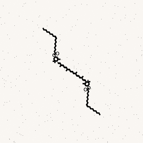 CCCCCCCC/C=C\CCCCCCCC(=O)O[C@@H]1CC(C)=C(/C=C/C(C)=C/C=C/C(C)=C/C=C/C=C(C)/C=C/C=C(C)/C=C/[C@H]2C(C)=C[C@H](OC(=O)CCCCCCC/C=C\CCCCCCCC)CC2(C)C)C(C)(C)C1